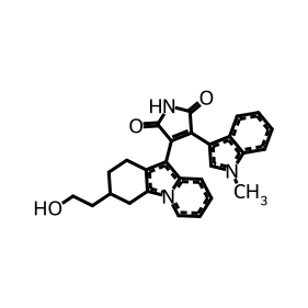 Cn1cc(C2=C(c3c4c(n5ccccc35)CC(CCO)CC4)C(=O)NC2=O)c2ccccc21